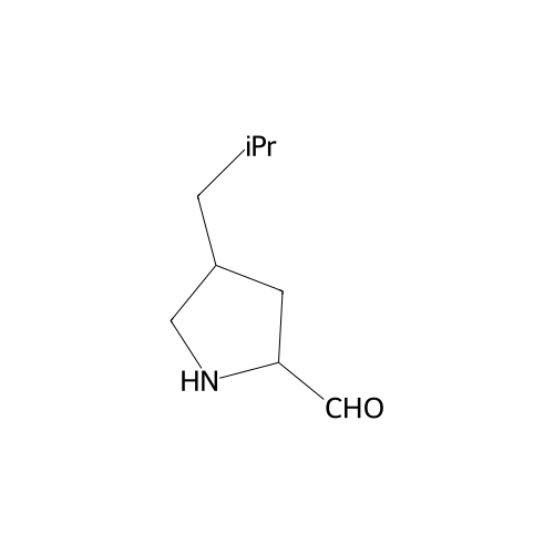 CC(C)CC1CNC(C=O)C1